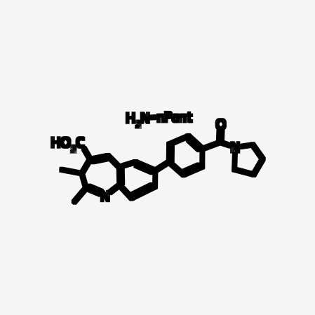 CC1=Nc2ccc(-c3ccc(C(=O)N4CCCC4)cc3)cc2C=C(C(=O)O)C1C.CCCCCN